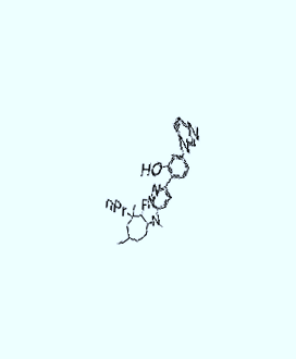 CCC[C@]1(C)CC(C)CC[C@H](N(C)c2ccc(-c3ccc(-n4ccnc4)cc3O)nn2)[C@H]1F